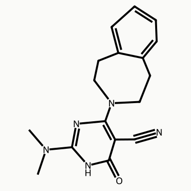 CN(C)c1nc(N2CCc3ccccc3CC2)c(C#N)c(=O)[nH]1